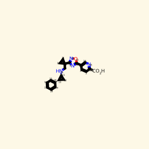 O=C(O)c1ccc(-c2nc(C3(CN[C@H]4C[C@@H]4c4ccccc4)CC3)no2)cn1